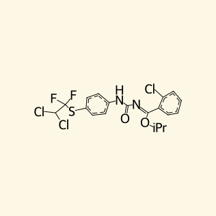 CC(C)OC(=NC(=O)Nc1ccc(SC(F)(F)C(Cl)Cl)cc1)c1ccccc1Cl